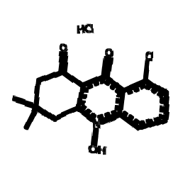 CC1(C)CC(=O)c2c(n(O)c3cccc(Cl)c3c2=O)C1.Cl